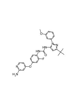 COc1cccc(-n2nc(C(C)(C)C)cc2NC(=O)Nc2ccc(Oc3ccnc(N)c3)cc2F)c1